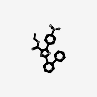 CCOC(=O)c1nc(-c2ccccc2-c2ccccc2)oc1-c1ccc([N+](=O)[O-])cc1